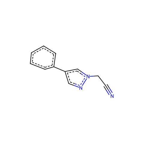 N#CCn1cc(-c2ccccc2)cn1